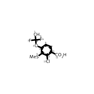 CSc1c(OC(C)(F)F)ccc(C(=O)O)c1Cl